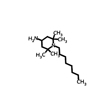 CCCCCCCCN1C(C)(C)CC(N)CC1(C)C